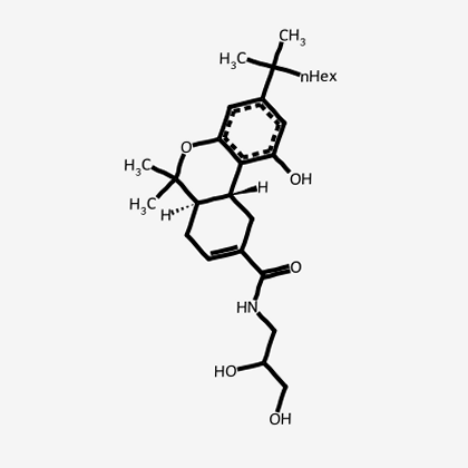 CCCCCCC(C)(C)c1cc(O)c2c(c1)OC(C)(C)[C@@H]1CC=C(C(=O)NCC(O)CO)C[C@@H]21